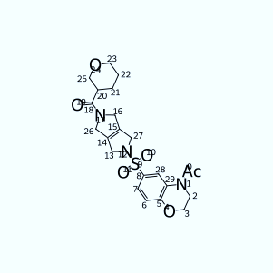 CC(=O)N1CCOc2ccc(S(=O)(=O)N3CC4=C(CN(C(=O)C5CCCOC5)C4)C3)cc21